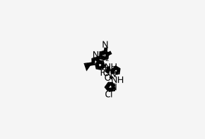 CC1CC=C(C(N)(CCC2CC2)c2ccc(F)c(NC(=O)[C@H]3CCCN3C(=O)Nc3ccc(Cl)cn3)c2)C=C1C#N